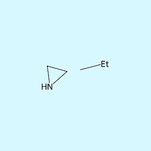 C1CN1.CCC